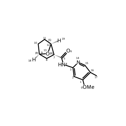 COc1cc(NC(=O)[C@@H]2C[C@H]3CC[C@@H]2O3)ncc1C